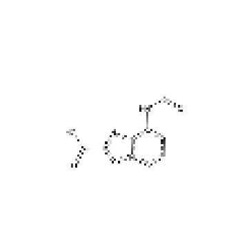 CC(=O)Nc1cccn2cc(C(=O)O)nc12